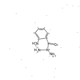 Nc1ccccc1C(=O)N(N)N